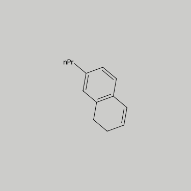 CCCc1ccc2c(c1)CCC=C2